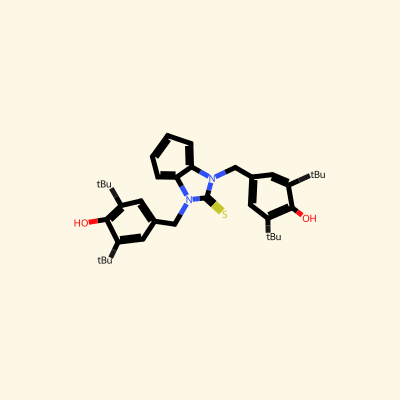 CC(C)(C)c1cc(Cn2c(=S)n(Cc3cc(C(C)(C)C)c(O)c(C(C)(C)C)c3)c3ccccc32)cc(C(C)(C)C)c1O